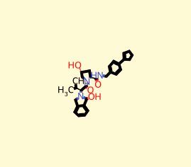 CC(C)[C@@H](C(=O)N1C[C@H](O)C[C@H]1C(=O)NCc1ccc(C2=CCCC2)cc1)N1Cc2ccccc2C1O